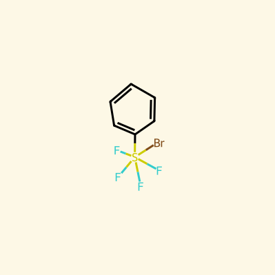 FS(F)(F)(F)(Br)c1ccccc1